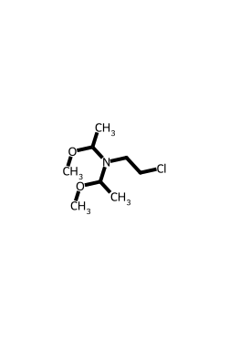 COC(C)N(CCCl)C(C)OC